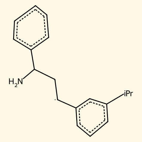 CC(C)c1cccc([CH]CC(N)c2ccccc2)c1